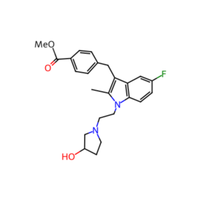 COC(=O)c1ccc(Cc2c(C)n(CCN3CCC(O)C3)c3ccc(F)cc23)cc1